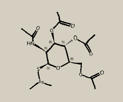 CC(=O)N[C@H]1[C@@H](OC(C)=O)[C@H](OC(C)=O)[C@@H](COC(C)=O)O[C@H]1S[As](C)C